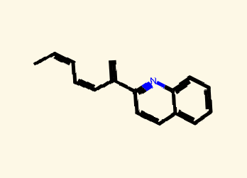 C=C(/C=C\C=C/C)c1ccc2ccccc2n1